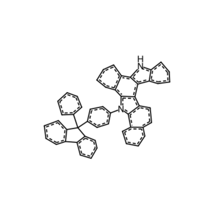 c1ccc(C2(c3ccc(-n4c5c6ccccc6ccc5c5c6c7ccccc7[nH]c6c6ccccc6c54)cc3)c3ccccc3-c3ccccc32)cc1